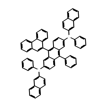 c1ccc(-c2c3cc(N(c4ccccc4)c4ccc5ccccc5c4)ccc3c(-c3cc4ccccc4c4ccccc34)c3cc(N(c4ccccc4)c4ccc5ccccc5c4)ccc23)cc1